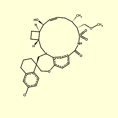 COC[C@H]1[C@@H](C)C/C=C\[C@H](O)[C@@H]2CC[C@H]2CN2C[C@@]3(CCCc4cc(Cl)ccc43)COc3ccc(cc32)C(=O)NS1(=O)=O